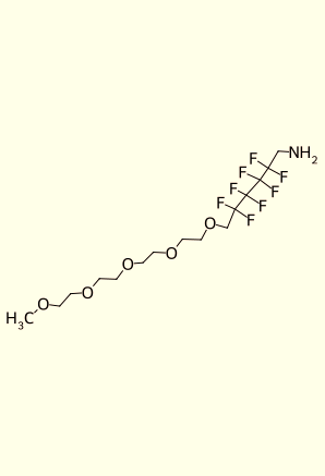 COCCOCCOCCOCCOCC(F)(F)C(F)(F)C(F)(F)C(F)(F)CN